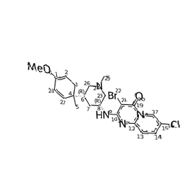 COC1=CCC(C)([C@H]2C[C@@H](Nc3nc4ccc(Cl)cn4c(=O)c3Br)CN(C)C2)C=C1